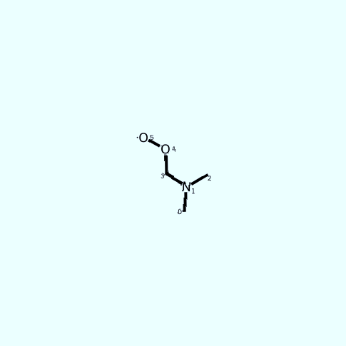 CN(C)CO[O]